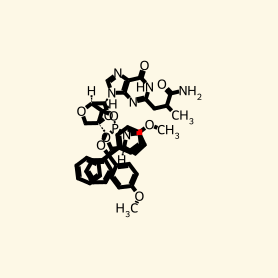 COc1ccc(C(OC[C@@]23CO[C@@H]([C@H](n4cnc5c(=O)[nH]c(CC(C)C(N)=O)nc54)O2)[C@@H]3O[P@@]2O[C@H](c3ccccc3)[C@@H]3CCCN32)(c2ccccc2)c2ccc(OC)cc2)cc1